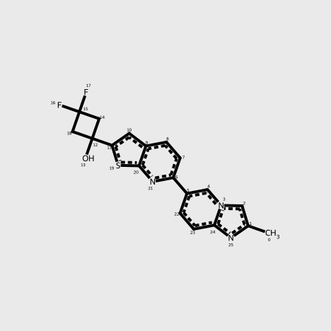 Cc1cn2cc(-c3ccc4cc(C5(O)CC(F)(F)C5)sc4n3)ccc2n1